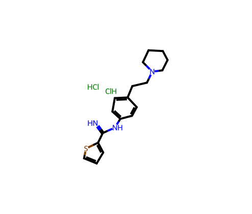 Cl.Cl.N=C(Nc1ccc(CCN2CCCCC2)cc1)c1cccs1